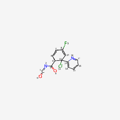 O=C=NC(=O)C1C=CC(F)=CC1(Cl)c1ccccn1